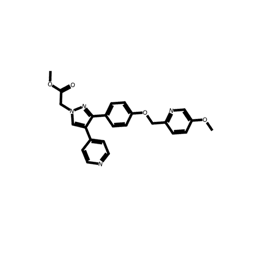 COC(=O)Cn1cc(-c2ccncc2)c(-c2ccc(OCc3ccc(OC)cn3)cc2)n1